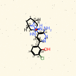 CNC(=N)N1[C@@H]2CC[C@H]1CN(c1cc(-c3cccc(Cl)c3O)nnc1N)C2